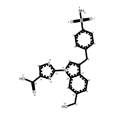 NS(=O)(=O)c1ccc(Cc2cn(-c3nc(C(=O)O)cs3)c3cc(CO)ccc23)cc1